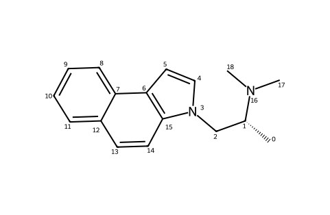 C[C@H](Cn1ccc2c3ccccc3ccc21)N(C)C